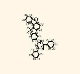 CC1(C)c2ccc(-c3cc(-c4ccccc4)nc(-c4ccccc4)n3)cc2-c2ccc3oc4ccccc4c3c21